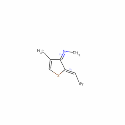 C/N=C1/C(C)=CS/C1=C\C(C)C